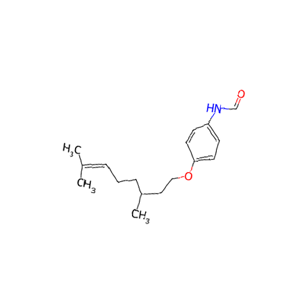 CC(C)=CCCC(C)CCOc1ccc(NC=O)cc1